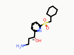 NCC[C@@H](O)c1cccc(S(=O)(=O)CC2CCCCC2)n1